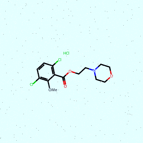 COc1c(Cl)ccc(Cl)c1C(=O)OCCN1CCOCC1.Cl